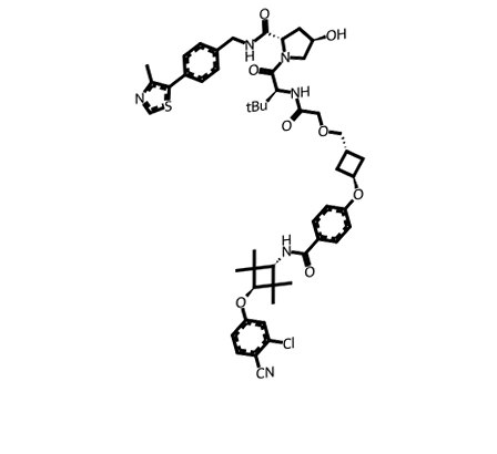 Cc1ncsc1-c1ccc(CNC(=O)[C@@H]2C[C@@H](O)CN2C(=O)[C@@H](NC(=O)COC[C@H]2C[C@H](Oc3ccc(C(=O)N[C@H]4C(C)(C)[C@H](Oc5ccc(C#N)c(Cl)c5)C4(C)C)cc3)C2)C(C)(C)C)cc1